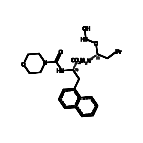 CC(C)C[C@H](N)OBO.O=C(O)[C@H](Cc1cccc2ccccc12)NC(=O)N1CCOCC1